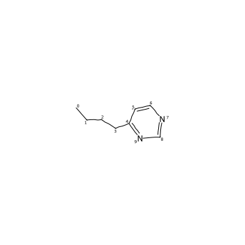 CCCCc1[c]cncn1